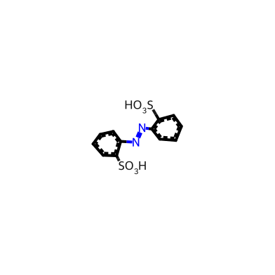 O=S(=O)(O)c1ccccc1/N=N/c1ccccc1S(=O)(=O)O